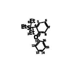 CC[Si](CC)(CC)c1ccccc1Oc1ccccc1